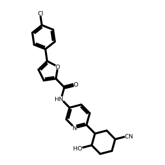 N#CC1CCC(O)C(c2ccc(NC(=O)c3ccc(-c4ccc(Cl)cc4)o3)cn2)C1